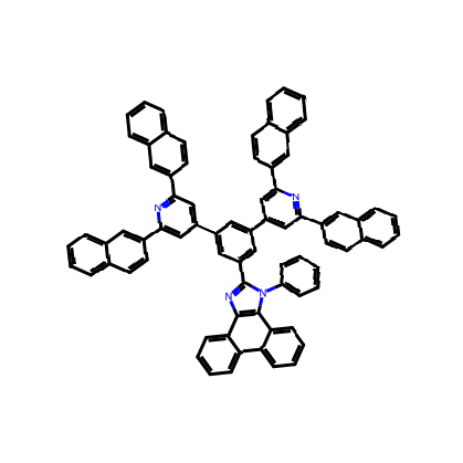 c1ccc(-n2c(-c3cc(-c4cc(-c5ccc6ccccc6c5)nc(-c5ccc6ccccc6c5)c4)cc(-c4cc(-c5ccc6ccccc6c5)nc(-c5ccc6ccccc6c5)c4)c3)nc3c4ccccc4c4ccccc4c32)cc1